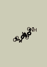 CCNC(=O)c1ccc(C)c(-n2cnc3ccc(CN(C)CCS(C)(=O)=O)cc3c2=O)c1